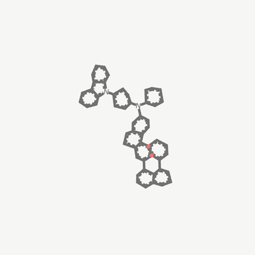 c1ccc(-c2cccc3cccc(-c4ccc5c(ccc6cc(N(c7ccccc7)c7ccc(-n8c9ccccc9c9ccccc98)cc7)ccc65)c4)c23)cc1